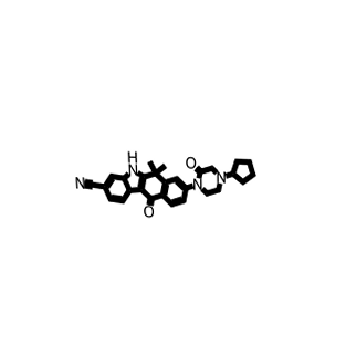 CC1(C)C2=C(C(=O)c3ccc(N4CCN(C5CCCC5)CC4=O)cc31)C1C=CC(C#N)=CC1N2